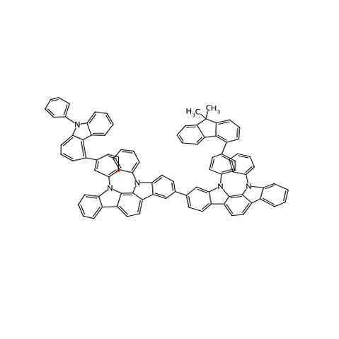 CC1(C)c2ccccc2-c2c(-c3ccc(-n4c5cc(-c6ccc7c(c6)c6ccc8c9ccccc9n(-c9cccc(-c%10cccc%11c%10c%10ccccc%10n%11-c%10ccccc%10)c9)c8c6n7-c6ccccc6)ccc5c5ccc6c7ccccc7n(-c7ccccc7)c6c54)cc3)cccc21